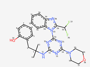 CC(C)(Cc1ccccc1O)Nc1nc(N2CCOCC2)nc(-n2c(C(F)F)nc3ccccc32)n1